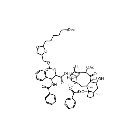 CCCCCCCCCCCCCCCC1OCC(COC(=O)O[C@@H](C(=O)O[C@H]2C[C@@]3(O)[C@@H](OC(=O)c4ccccc4)[C@@H]4[C@]5(OC(C)=O)CO[C@@H]5C[C@H](O)[C@@]4(C)C(=O)[C@H](OC(C)=O)C(=C2C)C3(C)C)C(NC(=O)c2ccccc2)c2ccccc2)O1